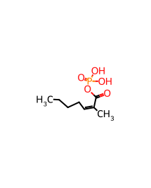 CCCCC=C(C)C(=O)OP(=O)(O)O